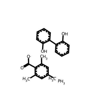 Cc1cc(C)c(C([O])=O)c(C)c1.Oc1ccccc1-c1ccccc1O.P